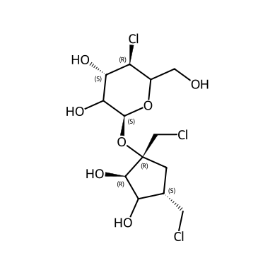 OCC1O[C@@H](O[C@]2(CCl)C[C@H](CCl)C(O)[C@H]2O)C(O)[C@H](O)[C@H]1Cl